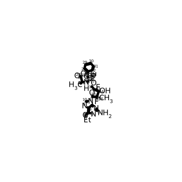 CCOc1nc(N)nc2c1ncn2[C@H]1O[C@](F)(COP(=O)(NC(C)C(=O)OCC(C)C)Oc2ccccc2)[C@@H](O)[C@@]1(C)F